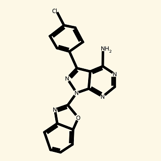 Nc1ncnc2c1c(-c1ccc(Cl)cc1)nn2-c1nc2ccccc2o1